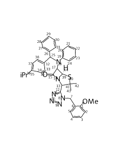 COc1ccccc1Cn1nnnc1C1N2C(=O)C(N(c3ccccc3)C(c3ccccc3)c3ccc(C(C)C)cc3)[C@H]2SC1(C)C